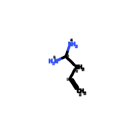 C=C[SiH2]C(N)N